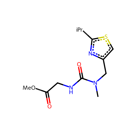 COC(=O)CNC(=O)N(C)Cc1csc(C(C)C)n1